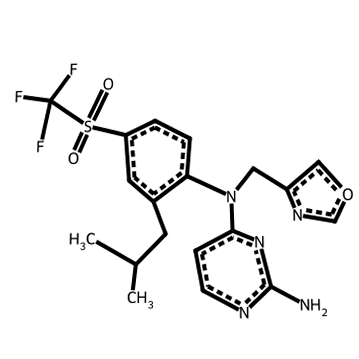 CC(C)Cc1cc(S(=O)(=O)C(F)(F)F)ccc1N(Cc1cocn1)c1ccnc(N)n1